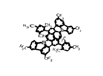 Cc1cc(C)c(-c2cc3c4c(cc5c(-c6c(C)cc(C)cc6C)cc6c7c(cc2c4c57)B2c4ccc(C(F)(F)F)cc4-c4cc(C(F)(F)F)cc-6c42)B2c4ccc(C)cc4-c4cc(C(F)(F)F)cc-3c42)c(C)c1